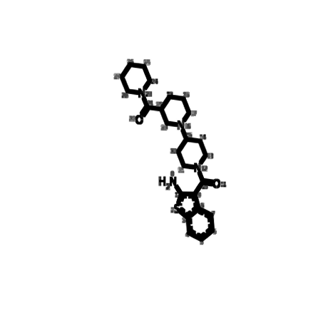 Nc1sc2ccccc2c1C(=O)N1CCC(N2CCCC(C(=O)N3CCCCC3)C2)CC1